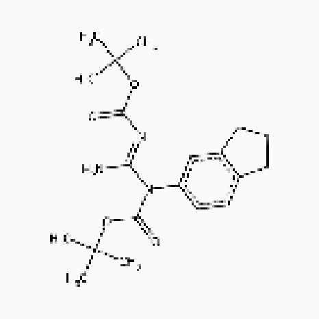 CC(C)(C)OC(=O)N=C(N)N(C(=O)OC(C)(C)C)c1ccc2c(c1)CCC2